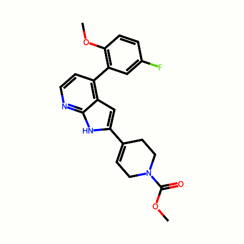 COC(=O)N1CC=C(c2cc3c(-c4cc(F)ccc4OC)ccnc3[nH]2)CC1